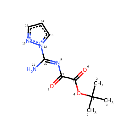 CC(C)(C)OC(=O)C(=O)N=C(N)n1cccn1